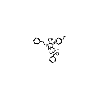 O=S(=O)(Nc1nn(CCc2ccccc2)c(C(F)(F)F)c1-c1ccc(F)cc1)c1ccccc1